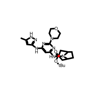 Cc1cc(Nc2cc(NC3CC4CCC(C3)N4C(=O)OC(C)(C)C)nc(N3CCOCC3)n2)n[nH]1